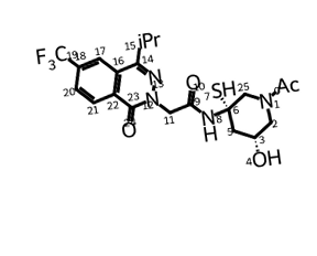 CC(=O)N1C[C@H](O)C[C@@](S)(NC(=O)Cn2nc(C(C)C)c3cc(C(F)(F)F)ccc3c2=O)C1